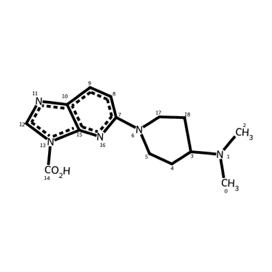 CN(C)C1CCN(c2ccc3ncn(C(=O)O)c3n2)CC1